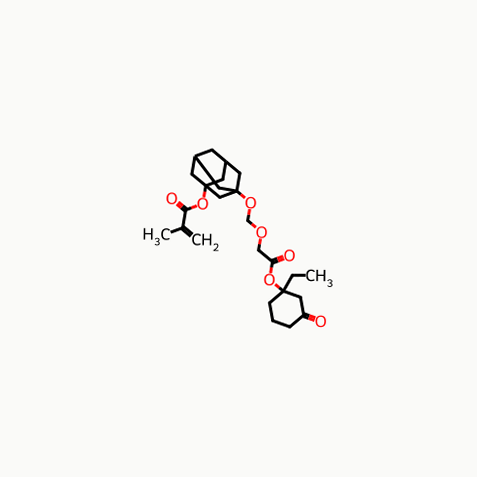 C=C(C)C(=O)OC12CC3CC(CC(OCOCC(=O)OC4(CC)CCCC(=O)C4)(C3)C1)C2